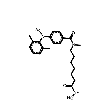 CC(=O)N(c1ccc(C(=O)N(C)CCCCCCC(=O)NO)cc1)c1c(C)cccc1C